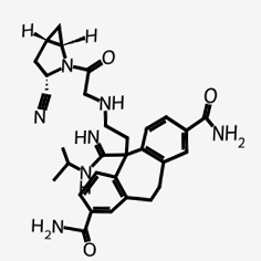 CC(C)NC(=N)C1(CCNCC(=O)N2[C@H](C#N)C[C@@H]3C[C@@H]32)c2ccc(C(N)=O)cc2CCc2cc(C(N)=O)ccc21